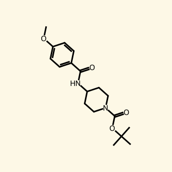 COc1ccc(C(=O)NC2CCN(C(=O)OC(C)(C)C)CC2)cc1